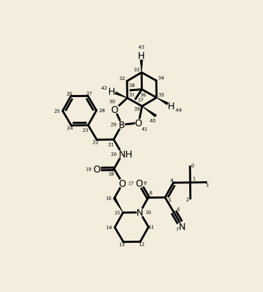 CC(C)(C)C=C(C#N)C(=O)N1CCCC[C@H]1COC(=O)NC(Cc1ccccc1)B1O[C@@H]2C[C@@H]3C[C@@H](C3(C)C)[C@]2(C)O1